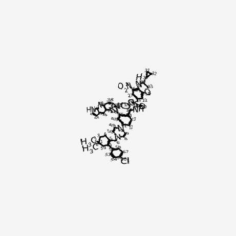 CC1(C)CCC(CN2CCN(c3ccc(C(=O)NS(=O)(=O)c4cc5c(c([N+](=O)[O-])c4)N[C@@H](C4CC4)CO5)c(-n4ncc5nc6[nH]ccc6cc54)c3)CC2)=C(c2ccc(Cl)cc2)C1